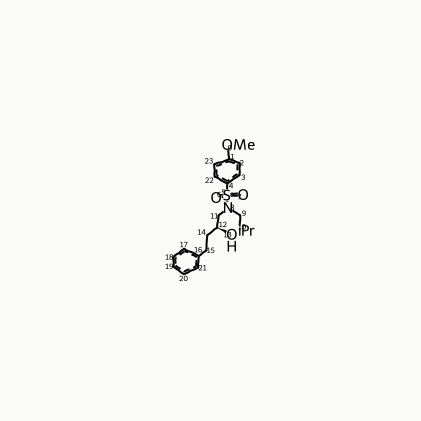 COc1ccc(S(=O)(=O)N(CC(C)C)C[C@@H](O)CCc2ccccc2)cc1